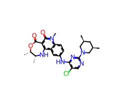 C[C@@H]1C[C@H](C)CN(c2ncc(Cl)c(Nc3ccc4c(c3)c3c(c(=O)n4C)C(=O)O[C@@H](C)[C@@H](C)N3)n2)C1